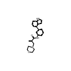 C=C(CN1CCOCC1)C(=O)Nc1cccc(-c2cccc3[nH]ccc23)c1